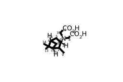 CC1[C@H]2C[C@@H](C[C@@H]1N(CC(=O)O)CC(=O)O)C2(C)C